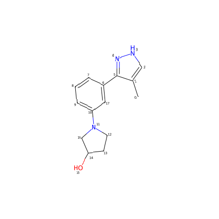 Cc1c[nH]nc1-c1cccc(N2CCC(O)C2)c1